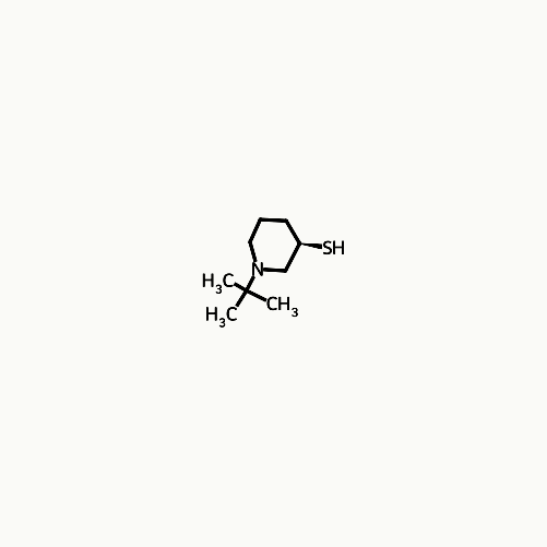 CC(C)(C)N1CCC[C@@H](S)C1